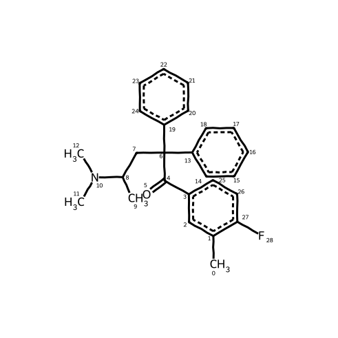 Cc1cc(C(=O)C(CC(C)N(C)C)(c2ccccc2)c2ccccc2)ccc1F